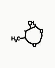 CC1[CH]C(C)COCCOC1